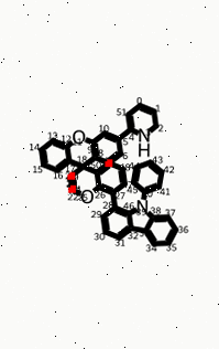 C1=CCNC(c2ccc3c(c2)Oc2ccccc2C32c3ccccc3Oc3c(-c4cccc5c6ccccc6n(-c6ccccc6)c45)cccc32)=C1